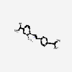 N=C(N)c1ccc(/C=C/c2ccc(C(=N)N)cc2N)cc1